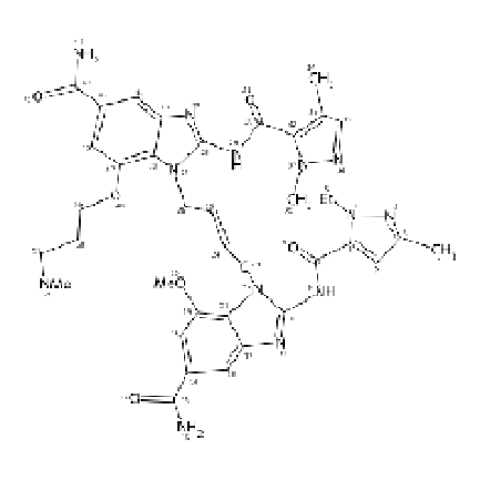 CCn1nc(C)cc1C(=O)Nc1nc2cc(C(N)=O)cc(OC)c2n1C/C=C/Cn1c(NC(=O)c2c(C)cnn2C)nc2cc(C(N)=O)cc(OCCCNC)c21